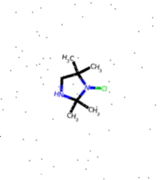 CC1(C)CNC(C)(C)N1Cl